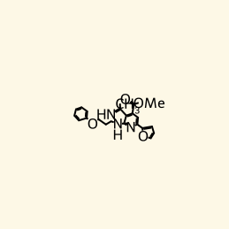 COC(=O)c1cc(-c2ccco2)nc(NCCCOc2ccccc2)c1C(C)=N